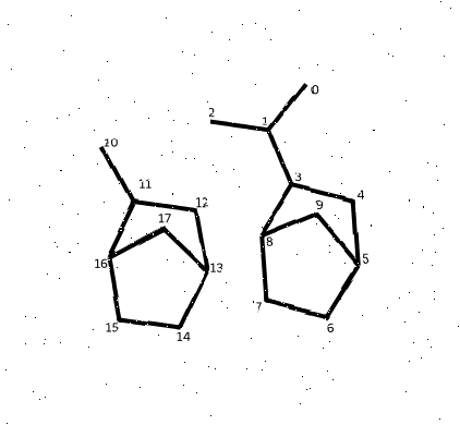 CC(C)C1CC2CCC1C2.CC1CC2CCC1C2